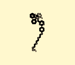 COCCOCCOCCO[C@H]1CC[C@H](c2nccc(CO[Si](c3ccccc3)(c3ccccc3)C(C)(C)C)n2)CC1